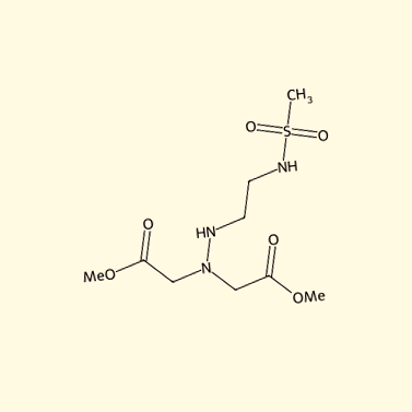 COC(=O)CN(CC(=O)OC)NCCNS(C)(=O)=O